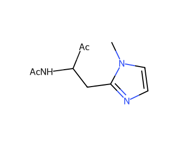 CC(=O)NC(Cc1nccn1C)C(C)=O